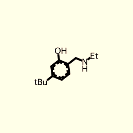 CCNCc1ccc(C(C)(C)C)cc1O